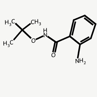 CC(C)(C)ONC(=O)c1ccccc1N